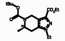 CCOC(=O)c1nn(CC)c2c1CN(C(=O)OC(C)(C)C)[C@H](C)C2